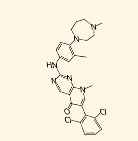 Cc1cc(Nc2ncc3c(=O)c(-c4c(Cl)cccc4Cl)cn(C)c3n2)ccc1N1CCCN(C)CC1